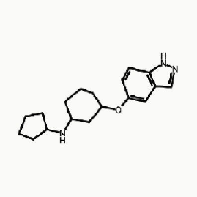 c1cc2[nH]ncc2cc1OC1CCCC(NC2CCCC2)C1